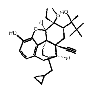 C#C[C@]12C[C@H]([C@](C)(O)C(C)(C)C)[C@@](CC)(OC)[C@@H]3Oc4c(O)ccc5c4[C@@]31CCN(CC1CC1)[C@@H]2C5